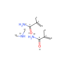 C=C(C)C(N)=O.C=C(C)C(N)=O.CNC